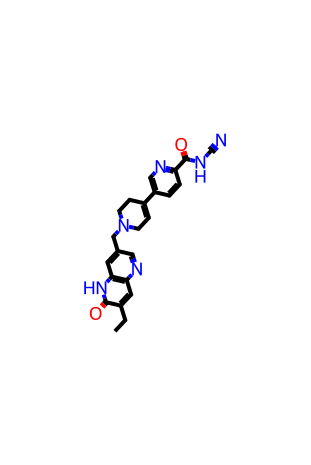 CCc1cc2ncc(CN3CC=C(c4ccc(C(=O)NC#N)nc4)CC3)cc2[nH]c1=O